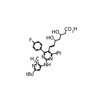 CC(C)c1nc(Nc2cc(C(C)(C)C)nn2C)nc(-c2ccc(F)cc2)c1/C=C/[C@@H](O)C[C@@H](O)CC(=O)O